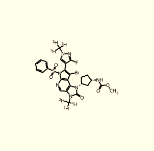 [2H]C([2H])([2H])n1cc(-c2c(Br)c3c(ncc4c3n([C@@H]3CC[C@@H](NC(=O)OC)C3)c(=O)n4C([2H])([2H])[2H])n2S(=O)(=O)c2ccccc2)c(F)n1